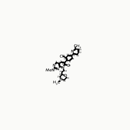 CNc1ncc2cc(-c3ccc(-c4cccc(C)n4)cc3Cl)c(=O)n(CCC3CN(C)CCO3)c2n1